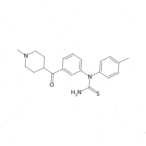 Cc1ccc(N(C(N)=S)c2cccc(C(=O)C3CCN(C)CC3)c2)cc1